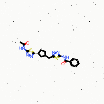 CC(=O)Nc1nnc([C@@H]2CCC(Cc3nnc(NC(=O)c4ccccc4)s3)C2)s1